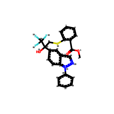 COC(=O)c1ccccc1SCC(O)(c1ccc2c(cnn2-c2ccccc2)c1)C(F)(F)F